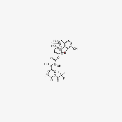 C[C@H](OC(=O)[C@H](O)[C@@H](O)C(=O)OC1=CC[C@@]2(O)[C@H]3Cc4ccc(O)c5c4[C@@]2(CCN3C)[C@H]1O5)C(=O)OC(=O)C(F)(F)F